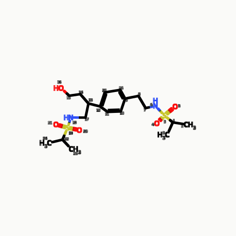 CC(C)S(=O)(=O)NCCc1ccc(C(CCO)CNS(=O)(=O)C(C)C)cc1